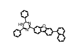 c1ccc(C2=NC(c3ccc4c(c3)oc3cc(-c5cccc6ccccc56)ccc34)=NC(c3ccccc3)N2)cc1